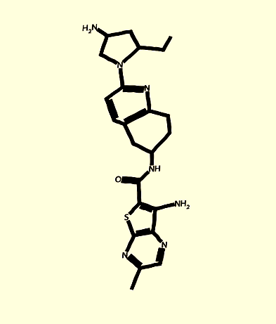 CCC1CC(N)CN1c1ccc2c(n1)CCC(NC(=O)c1sc3nc(C)cnc3c1N)C2